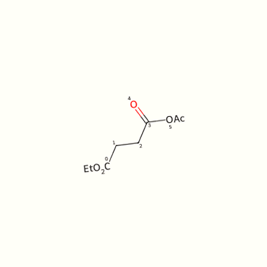 CCOC(=O)CCC(=O)OC(C)=O